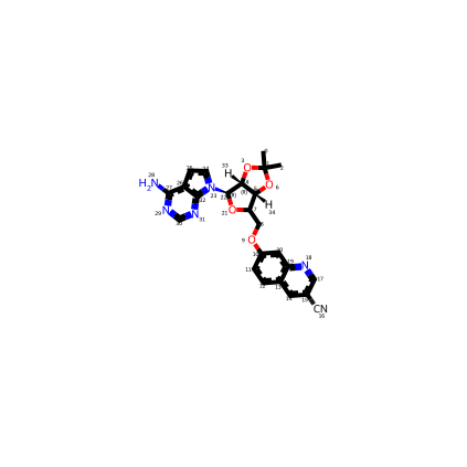 CC1(C)O[C@@H]2[C@H](O1)C(COc1ccc3cc(C#N)cnc3c1)O[C@H]2n1ccc2c(N)ncnc21